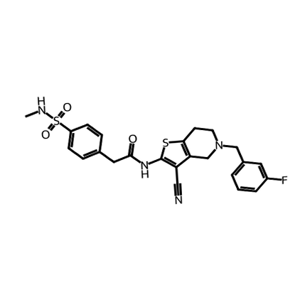 CNS(=O)(=O)c1ccc(CC(=O)Nc2sc3c(c2C#N)CN(Cc2cccc(F)c2)CC3)cc1